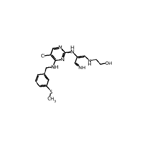 CSc1cccc(CNc2nc(N/C(C=N)=C/NCCO)ncc2Cl)c1